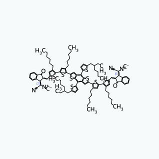 [C-]#[N+]/C(C#N)=C1\C(=Cc2cc(CCCCCC)c(-c3cc(CCCCCC)c(-c4cc5c(-c6ccc(CC(CC)CCCC)s6)c6sc(-c7sc(-c8sc(C=C9C(=O)c%10ccccc%10/C9=C(/C#N)[N+]#[C-])cc8CCCCCC)cc7CCCCCC)cc6c(-c6ccc(CC(CC)CCCC)s6)c5s4)s3)s2)C(=O)c2ccccc21